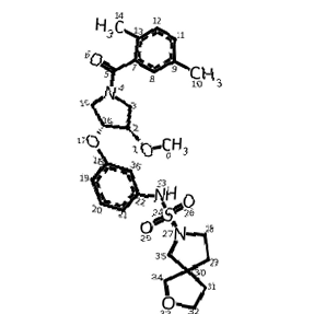 CO[C@@H]1CN(C(=O)c2cc(C)ccc2C)C[C@H]1Oc1cccc(NS(=O)(=O)N2CCC3(CCOC3)C2)c1